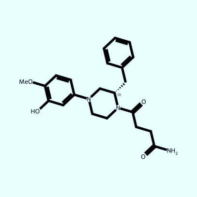 COc1ccc(N2CCN(C(=O)CCC(N)=O)[C@@H](Cc3ccccc3)C2)cc1O